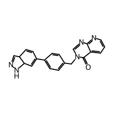 O=c1c2cccnc2ncn1Cc1ccc(C2=CC3NN=CC3C=C2)cc1